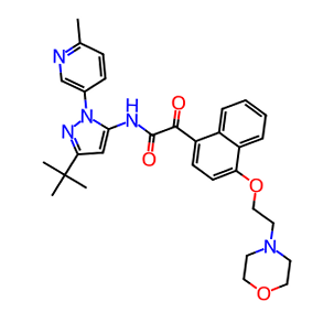 Cc1ccc(-n2nc(C(C)(C)C)cc2NC(=O)C(=O)c2ccc(OCCN3CCOCC3)c3ccccc23)cn1